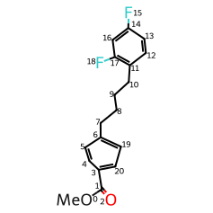 COC(=O)c1ccc(CCCCc2ccc(F)cc2F)cc1